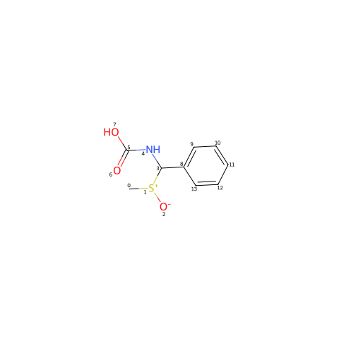 C[S+]([O-])C(NC(=O)O)c1ccccc1